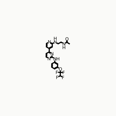 CC(=O)NCCNc1cc(-c2ccnc(Nc3cccc(OC(F)(F)C(F)F)c3)n2)ccn1